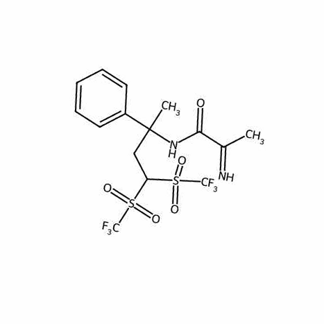 CC(=N)C(=O)NC(C)(CC(S(=O)(=O)C(F)(F)F)S(=O)(=O)C(F)(F)F)c1ccccc1